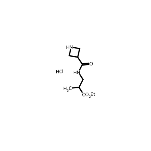 CCOC(=O)C(C)CNC(=O)C1CNC1.Cl